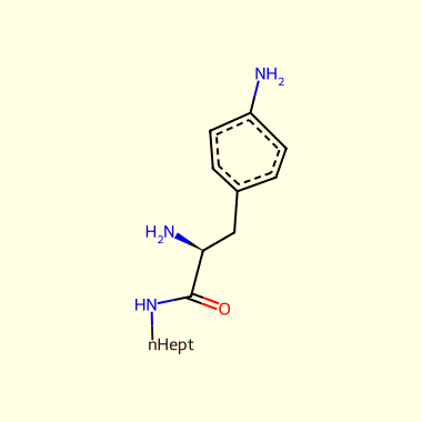 CCCCCCCNC(=O)[C@@H](N)Cc1ccc(N)cc1